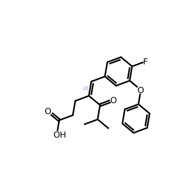 CC(C)C(=O)/C(=C\c1ccc(F)c(Oc2ccccc2)c1)CCC(=O)O